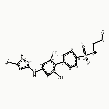 Nc1nc(Nc2cc(Cl)c(-c3ccc(S(=O)(=O)NCCO)cc3)c(C(F)(F)F)c2)n[nH]1